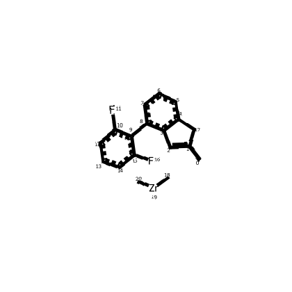 CC1=Cc2c(cccc2-c2c(F)cccc2F)C1.[CH3][Zr][CH3]